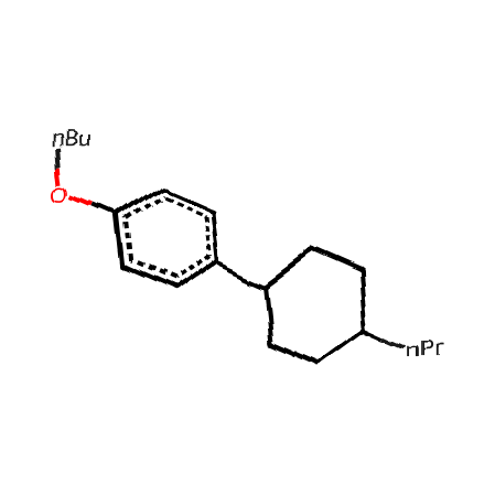 CCCCOc1ccc(C2CCC(CCC)CC2)cc1